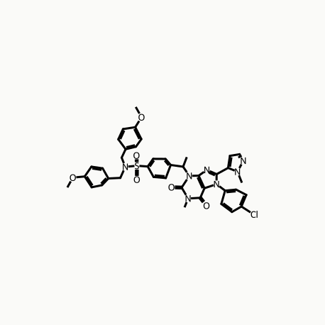 COc1ccc(CN(Cc2ccc(OC)cc2)S(=O)(=O)c2ccc(C(C)n3c(=O)n(C)c(=O)c4c3nc(-c3ccnn3C)n4-c3ccc(Cl)cc3)cc2)cc1